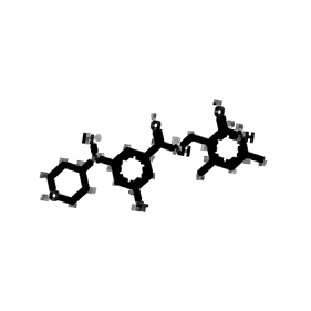 CCN(c1cc(Br)cc(C(=O)NCc2c(C)cc(C)[nH]c2=O)c1)C1CCOCC1